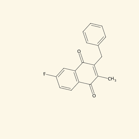 CC1=C(Cc2ccccc2)C(=O)c2cc(F)ccc2C1=O